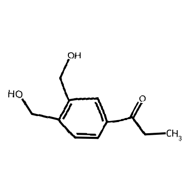 CCC(=O)c1ccc(CO)c(CO)c1